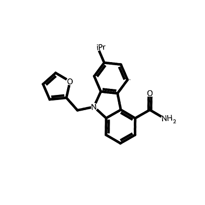 CC(C)c1c[c]c2c3c(C(N)=O)cccc3n(Cc3ccco3)c2c1